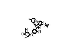 Cc1ccnc(Cn2c(-c3ccc(OC4CNC(=O)OC4)cc3Cl)nc3c(OC4(C)CC4)ncnc32)c1